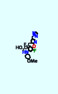 COC1CCC(Nc2cc(F)c(Oc3ncc(Cn4nccn4)cc3C(F)(F)F)cc2C(=O)O)CC1